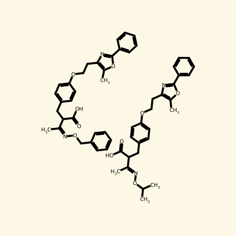 CC(=NOC(C)C)C(Cc1ccc(OCCc2nc(-c3ccccc3)oc2C)cc1)C(=O)O.CC(=NOCc1ccccc1)C(Cc1ccc(OCCc2nc(-c3ccccc3)oc2C)cc1)C(=O)O